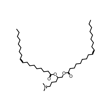 CCCCCCCC/C=C\CCCCCCCC(=O)OCC(CCCN(C)C)OC(=O)CCCCCCC/C=C\CCCCCCCC